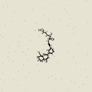 Cc1cc(-c2cccc(C#CCC(=O)N(C)CCCO)c2)nc2c(C)ncnc12